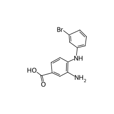 Nc1cc(C(=O)O)ccc1Nc1cccc(Br)c1